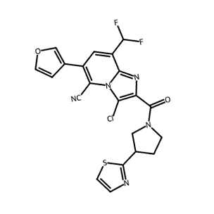 N#Cc1c(-c2ccoc2)cc(C(F)F)c2nc(C(=O)N3CCC(c4nccs4)C3)c(Cl)n12